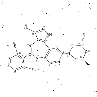 C[C@H]1CN(c2cc3c(cn2)NC(c2c(F)cccc2F)=Nc2c(Cl)n[nH]c2-3)C[C@H](C)O1